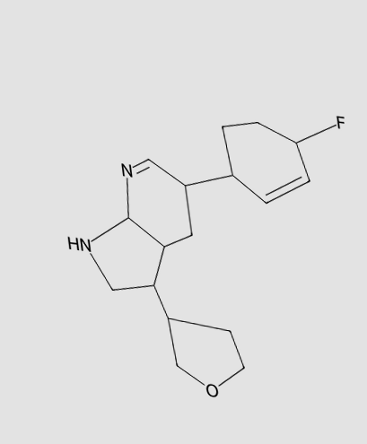 FC1C=CC(C2C=NC3NCC(C4CCOC4)C3C2)CC1